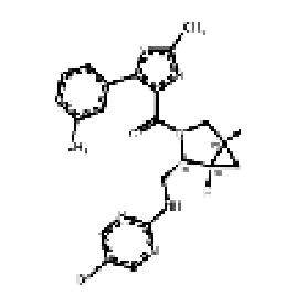 Cc1cccc(-c2sc(C)nc2C(=O)N2C[C@@H]3C[C@@H]3[C@H]2CNc2ncc(Br)cn2)c1